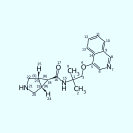 CC(C)(COc1cncc2ccccc12)NC(=O)[C@H]1[C@@H]2CNC[C@@H]21